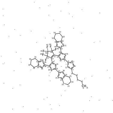 CCCCCc1csc(-c2cc(C3=C(c4cc(-c5cc6c(s5)CCCC6)sc4-c4cc5c(s4)CCCC5)C(F)(F)C(F)(F)C3(F)F)c(-c3cc4c(s3)CCCC4)s2)c1